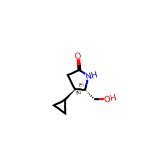 O=C1C[C@H](C2CC2)[C@@H](CO)N1